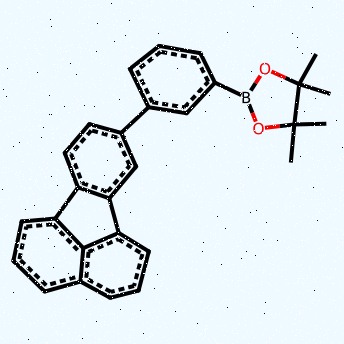 CC1(C)OB(c2cccc(-c3ccc4c(c3)-c3cccc5cccc-4c35)c2)OC1(C)C